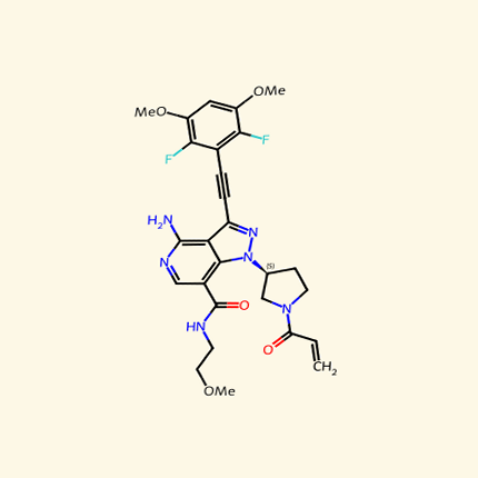 C=CC(=O)N1CC[C@H](n2nc(C#Cc3c(F)c(OC)cc(OC)c3F)c3c(N)ncc(C(=O)NCCOC)c32)C1